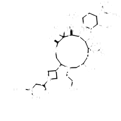 CCCN1C[C@H](C)C[C@@](C)(OC)[C@H](O[C@@H]2O[C@H](C)C[C@H](N(C)C)[C@H]2O)[C@@H](C)C(=O)C(C)(C)C(=O)OCC1C1CN(C(=O)CN(C)C)C1